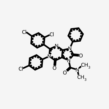 CN(C)C(=O)n1c(=O)n(-c2ccccc2)c2nc(-c3ccc(Cl)cc3Cl)n(-c3ccc(Cl)cc3)c(=O)c21